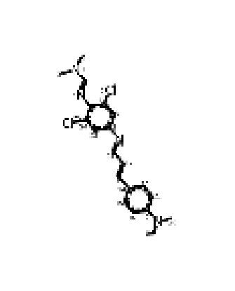 CN(C)C=Nc1c(Cl)cc(N=CC=Cc2ccc(N(C)C)cc2)cc1Cl